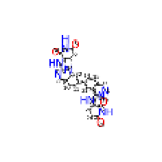 O=C1CCC(Nc2ncc3ccc(-c4ccc5cnnc(NC6CCC(=O)NC6=O)c5c4)cc3n2)C(=O)N1